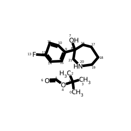 CC(C)(C)OC=O.OC1(c2ccc(F)cc2)CCCCNC1